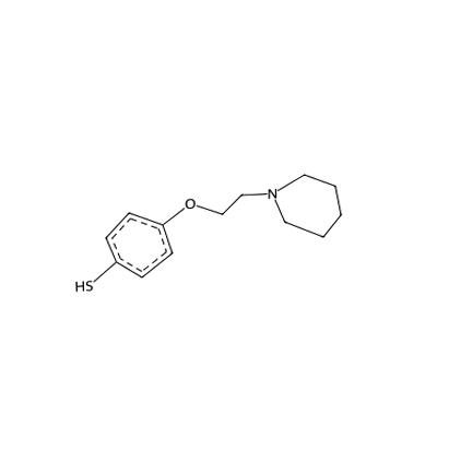 Sc1ccc(OCCN2CCCCC2)cc1